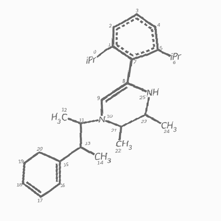 CC(C)c1cccc(C(C)C)c1C1=CN(C(C)C(C)C2=CC=CCC2)C(C)C(C)N1